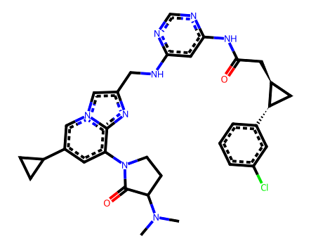 CN(C)C1CCN(c2cc(C3CC3)cn3cc(CNc4cc(NC(=O)C[C@H]5C[C@@H]5c5cccc(Cl)c5)ncn4)nc23)C1=O